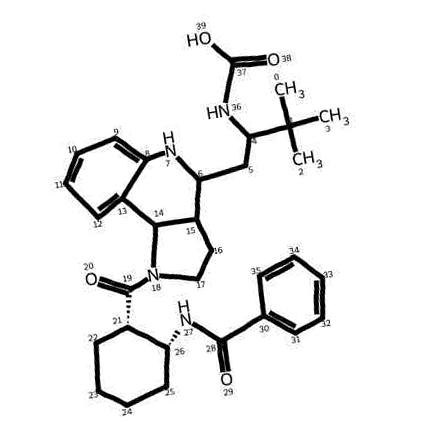 CC(C)(C)C(CC1Nc2ccccc2C2C1CCN2C(=O)[C@H]1CCCC[C@H]1NC(=O)c1ccccc1)NC(=O)O